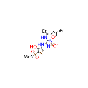 CC[C@@H](Nc1n[s+]([O-])nc1Nc1csc(S(=O)(=O)NC)c1O)c1cc(C(C)C)co1